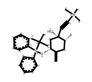 C=C1C[C@@H](C)[C@](O)(C#C[Si](C)(C)C)C[C@H]1O[Si](c1ccccc1)(c1ccccc1)C(C)(C)C